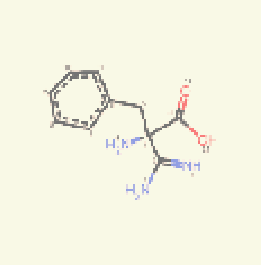 N=C(N)[C@](N)(Cc1ccccc1)C(=O)O